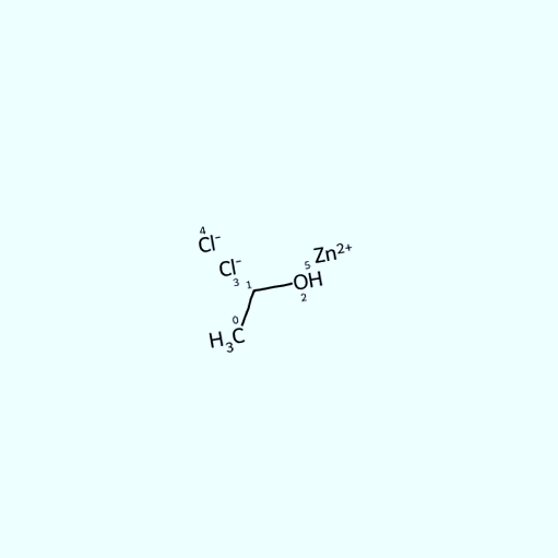 CCO.[Cl-].[Cl-].[Zn+2]